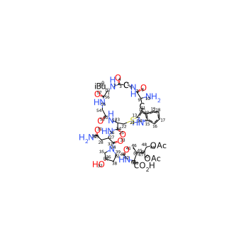 CC[C@H](C)[C@@H]1NC(=O)CNC(=O)C(N)Cc2c([nH]c3ccccc23)SCC(C(=O)NC(CC(N)=O)C(=O)N2C[C@H](O)C[C@H]2C(=O)N[C@H](C(=O)O)[C@@H](C)[C@H](COC(C)=O)OC(C)=O)NC(=O)CNC1=O